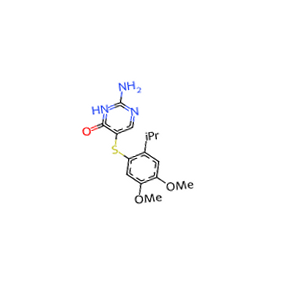 COc1cc(Sc2cnc(N)[nH]c2=O)c(C(C)C)cc1OC